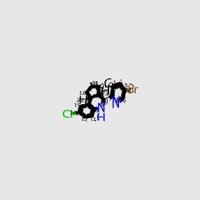 Cc1cc(Br)cnc1[C@@H]1Nc2ccc(Cl)cc2[C@@H]2CCC[C@@H]21